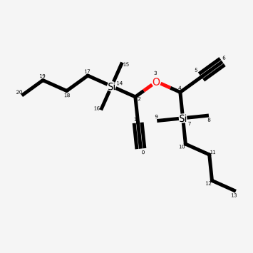 C#CC(OC(C#C)[Si](C)(C)CCCC)[Si](C)(C)CCCC